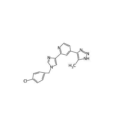 Cc1[nH]nnc1-c1ccnc(-c2cn(Cc3ccc(Cl)cc3)cn2)c1